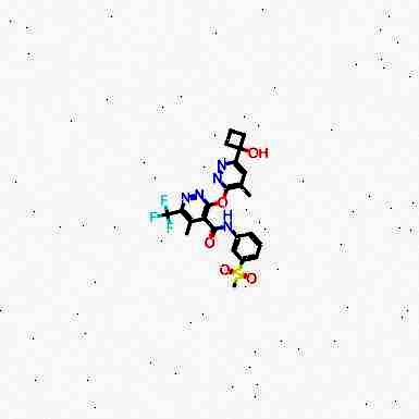 Cc1cc(C2(O)CCC2)nnc1Oc1nnc(C(F)(F)F)c(C)c1C(=O)Nc1cccc(S(C)(=O)=O)c1